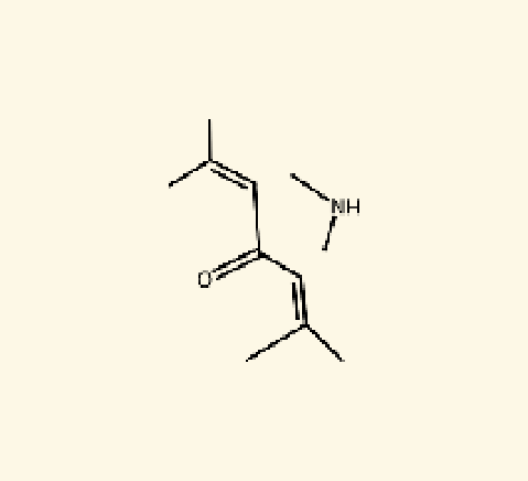 CC(C)=CC(=O)C=C(C)C.CNC